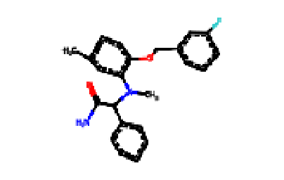 [CH2]c1ccc(OCc2cccc(F)c2)c(N(C)C(C(N)=O)c2ccccc2)c1